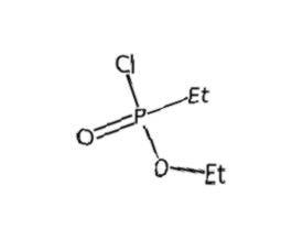 CCOP(=O)(Cl)CC